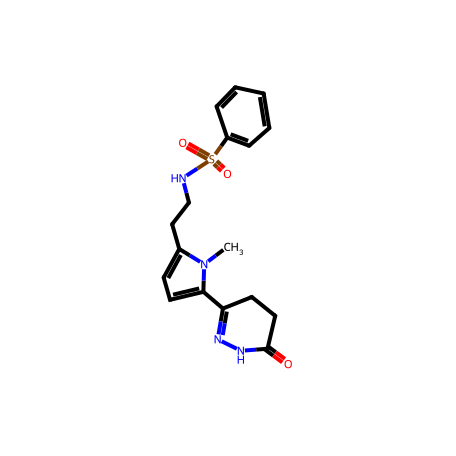 Cn1c(CCNS(=O)(=O)c2ccccc2)ccc1C1=NNC(=O)CC1